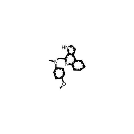 COc1ccc(N(C)Cc2nc3ccccc3c3cc[nH]c23)cc1